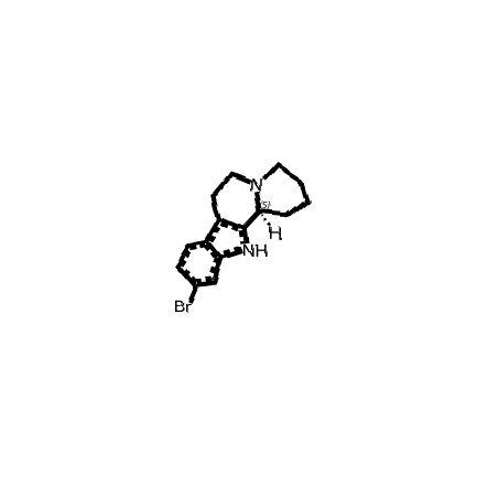 Brc1ccc2c3c([nH]c2c1)[C@@H]1CCCCN1CC3